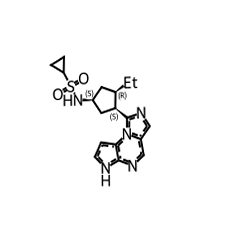 CC[C@@H]1C[C@H](NS(=O)(=O)C2CC2)C[C@@H]1c1ncc2cnc3[nH]ccc3n12